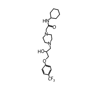 O=C(CN1CCN(CC(O)COc2ccc(C(F)(F)F)cc2)CC1)NC1CCCCC1